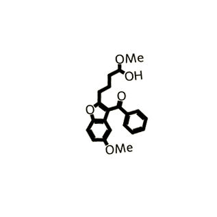 COc1ccc2oc(CCCC(O)OC)c(C(=O)c3ccccc3)c2c1